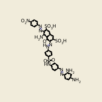 Nc1ccc(/N=N/c2ccc(NS(=O)(=O)c3ccc(/N=N/c4c(S(=O)(=O)O)cc5cc(S(=O)(=O)O)c(/N=N/c6ccc([N+](=O)[O-])cc6)c(N)c5c4O)cc3)cc2)c(N)c1